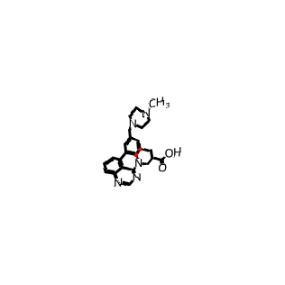 CN1CCN(Cc2cccc(-c3cccc4ncnc(N5CCCC(C(=O)O)C5)c34)c2)CC1